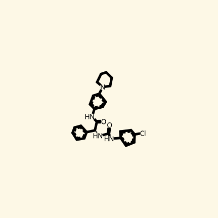 O=C(Nc1ccc(Cl)cc1)N[C@@H](C(=O)Nc1ccc(N2CCCCC2)cc1)c1ccccc1